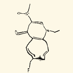 Cn1cc([S+](C)[O-])c(=O)c2cc(F)ccc21